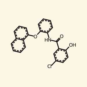 O=C(Nc1ccccc1Oc1cccc2ccccc12)c1cc(Cl)ccc1O